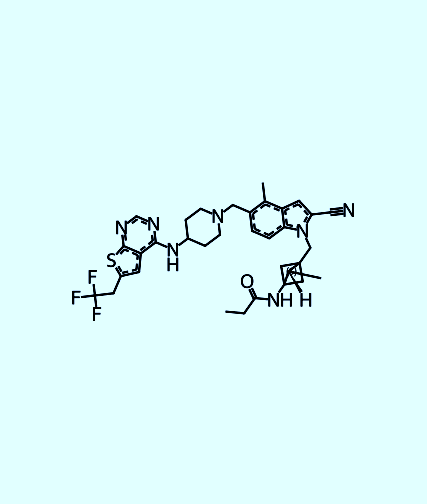 CCC(=O)NC12CC(Cn3c(C#N)cc4c(C)c(CN5CCC(Nc6ncnc7sc(CC(F)(F)F)cc67)CC5)ccc43)(C1)[C@@H]2C